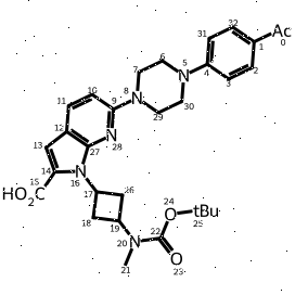 CC(=O)c1ccc(N2CCN(c3ccc4cc(C(=O)O)n(C5CC(N(C)C(=O)OC(C)(C)C)C5)c4n3)CC2)cc1